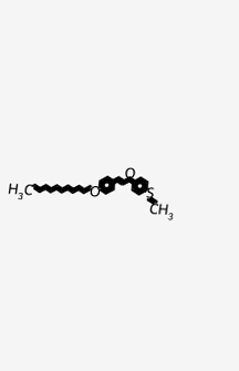 CCCCCCCCCCCCOc1ccc(/C=C/C(=O)c2ccc(SCCC)cc2)cc1